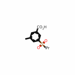 Cc1cc(C(=O)O)cc(S(=O)(=O)C(C)C)c1